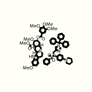 COC(=O)[C@H]1[C@H]2C[C@@H]3c4[nH]c5cc(OC)ccc5c4CCN3C[C@H]2C[C@@H](OC(=O)c2cc(OC)c(OC)c(OC)c2)[C@@H]1OC.O=S(=O)(c1ccccc1)N(Cc1cn(C(c2ccccc2)(c2ccccc2)c2ccccc2)cn1)c1ccc(N2CCCCC2)cc1